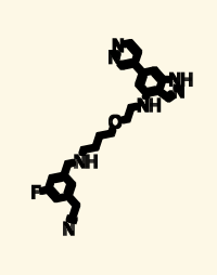 N#CCc1cc(F)cc(CNCCCCOCCNc2cc(-c3ccnnc3)cc3[nH]ncc23)c1